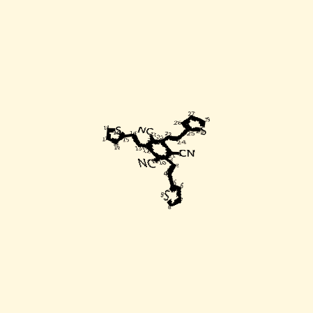 N#Cc1c(C=Cc2cccs2)c(C#N)c(C=Cc2cccs2)c(C#N)c1C=Cc1cccs1